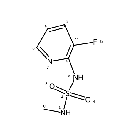 CNS(=O)(=O)Nc1ncc[c]c1F